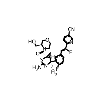 C[C@]1(c2cc(/C=C(\F)c3ccc(C#N)cn3)ccc2F)N=C(N)S[C@@]2(C(=O)N3CCOC[C@@H]3CO)C[C@H]21